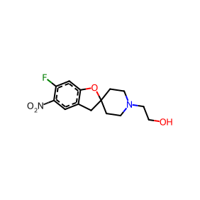 O=[N+]([O-])c1cc2c(cc1F)OC1(CCN(CCO)CC1)C2